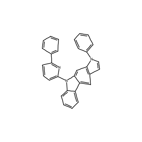 c1ccc(-c2cccc(-n3c4ccccc4c4cc5ccn(-c6ccccc6)c5cc43)n2)cc1